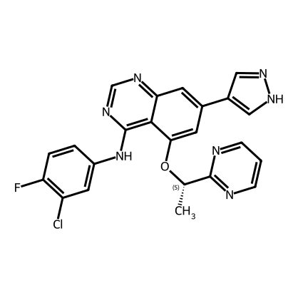 C[C@H](Oc1cc(-c2cn[nH]c2)cc2ncnc(Nc3ccc(F)c(Cl)c3)c12)c1ncccn1